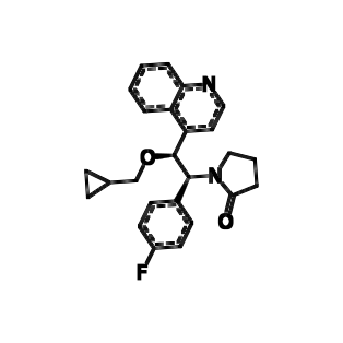 O=C1CCCN1[C@@H](c1ccc(F)cc1)[C@@H](OCC1CC1)c1ccnc2ccccc12